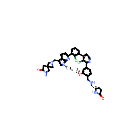 COc1cc(-c2nccc(-c3cccc(-c4ccc5c(CN6CC7(CNC(=O)C7)C6)cn(C)c5n4)c3Cl)c2Cl)ccc1CNC[C@@H]1CCC(=O)N1